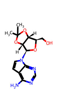 CC1(C)O[C@@H]2[C@H](O1)[C@@H](CO)O[C@H]2n1ccc2c(N)ncnc21